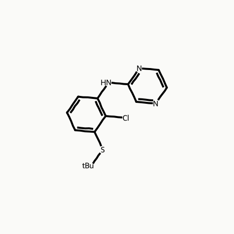 CC(C)(C)Sc1cccc(Nc2cnccn2)c1Cl